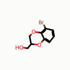 OCC1COc2c(Br)cccc2O1